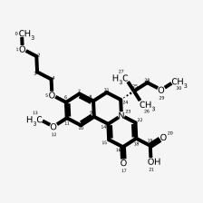 COCCCOc1cc2c(cc1OC)-c1cc(=O)c(C(=O)O)cn1[C@@H](C(C)(C)COC)C2